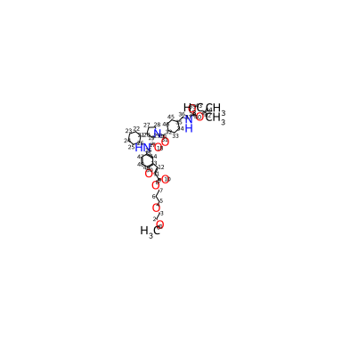 COCCOCCCOC(=O)c1cc2cc(NC(=O)[C@@H]3[C@H](C4CCCCC4)CCN3C(=O)[C@H]3CC[C@H](CNC(=O)OC(C)(C)C)CC3)ccc2o1